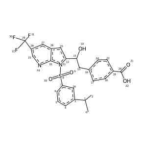 CC(C)c1cccc(S(=O)(=O)n2c(C(O)Cc3ccc(C(=O)O)cc3)cc3cc(C(F)(F)F)cnc32)c1